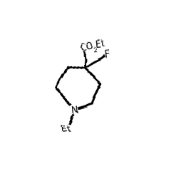 CCOC(=O)C1(F)CCN(CC)CC1